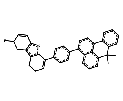 CC1(C)c2ccccc2-c2ccc(-c3ccc(C4=CCCc5c4sc4c5CC(F)C=C4)cc3)c3cccc1c23